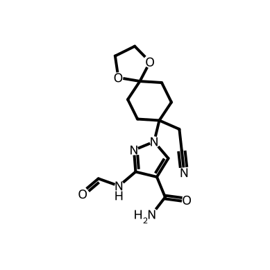 N#CCC1(n2cc(C(N)=O)c(NC=O)n2)CCC2(CC1)OCCO2